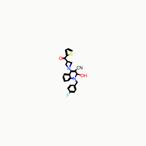 N#CC1=C(N2CC(C(=O)c3cccs3)C2)c2ccccc2N(Cc2ccc(F)cc2)C1O